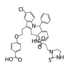 O=C(O)c1ccc(OCCc2c(CCNS(=O)(=O)CCN3CCNC3=S)n(C(c3ccccc3)c3ccccc3)c3ccc(Cl)cc23)cc1